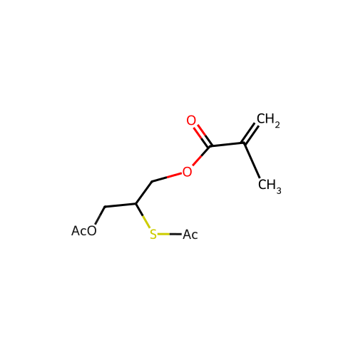 C=C(C)C(=O)OCC(COC(C)=O)SC(C)=O